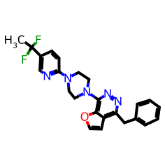 CC(F)(F)c1ccc(N2CCN(c3nnc(Cc4ccccc4)c4ccoc34)CC2)nc1